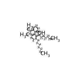 CCCCCCCc1cccc(-c2c(O)cccc2C(C)CC)c1CCCCCCC